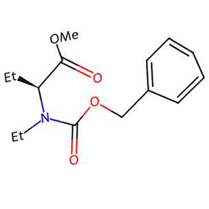 CC[C@@H](C(=O)OC)N(CC)C(=O)OCc1ccccc1